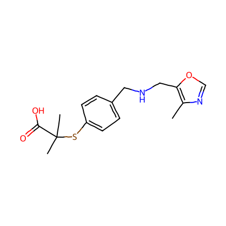 Cc1ncoc1CNCc1ccc(SC(C)(C)C(=O)O)cc1